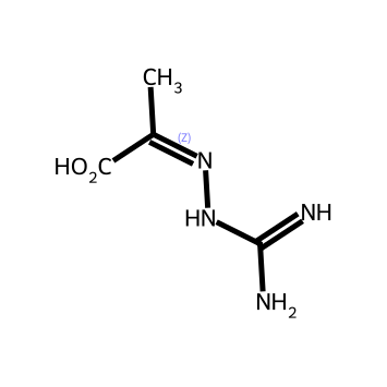 C/C(=N/NC(=N)N)C(=O)O